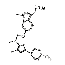 Cc1cc(-c2ccc(C(F)(F)F)cc2)sc1C(C)COc1ccc2c(CC(=O)O)cn(C)c2c1